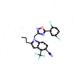 CCCc1cc2c(C(F)(F)F)c(C#N)ccc2n1Cc1noc(-c2cc(F)ccc2F)n1